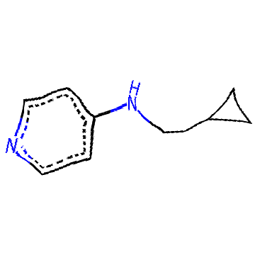 c1cc(NCC2CC2)ccn1